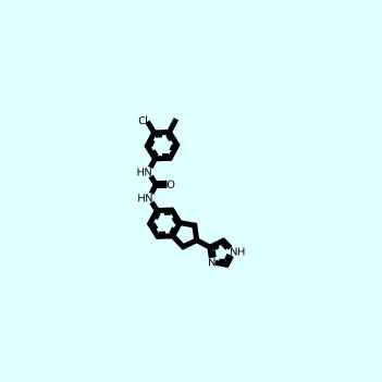 Cc1ccc(NC(=O)Nc2ccc3c(c2)CC(c2c[nH]cn2)C3)cc1Cl